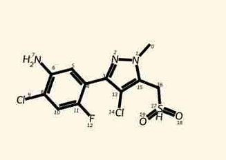 Cn1nc(-c2cc(N)c(Cl)cc2F)c(Cl)c1C[SH](=O)=O